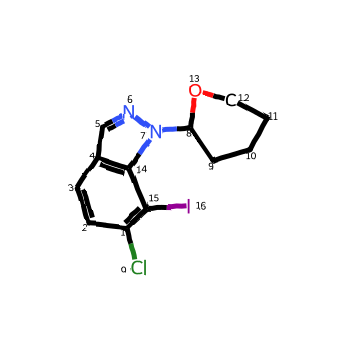 Clc1ccc2cnn(C3CCCCO3)c2c1I